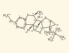 COc1ccc2c(c1)C[C@@H](C)[C@@H]1[C@@H]2CC[C@@]2(C)[C@H]1CC1C[C@@]12O[Si](C)(C)C